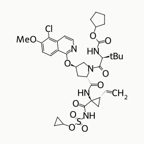 C=C[C@@H]1C[C@]1(NC(=O)[C@@H]1C[C@@H](Oc2nccc3c(Cl)c(OC)ccc23)CN1C(=O)[C@@H](NC(=O)OC1CCCC1)C(C)(C)C)C(=O)NS(=O)(=O)OC1CC1